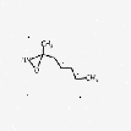 CCCCCC1(C)NO1